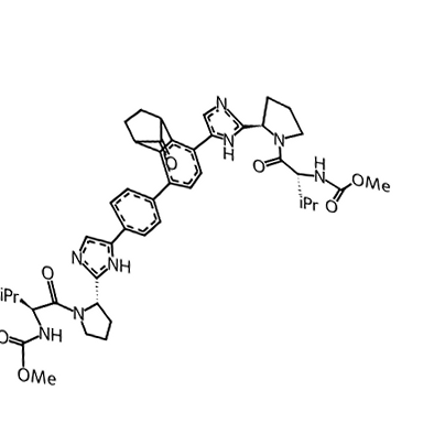 COC(=O)N[C@H](C(=O)N1CCC[C@H]1c1ncc(-c2ccc(-c3ccc(-c4cnc([C@H]5CCCN5C(=O)[C@H](NC(=O)OC)C(C)C)[nH]4)c4c3C3CCC4C3=O)cc2)[nH]1)C(C)C